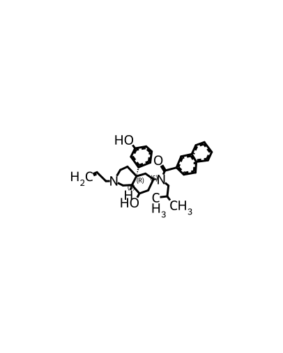 C=CCN1CC[C@@]2(c3cccc(O)c3)C[C@H](N(CC(C)C)C(=O)c3ccc4ccccc4c3)CC(O)[C@@H]2C1